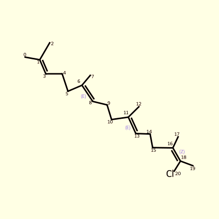 CC(C)=CCC/C(C)=C/CC/C(C)=C/CC/C(C)=C(/C)Cl